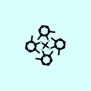 Cc1cccc(C)c1OC(Oc1c(C)cccc1C)(Oc1c(C)cccc1C)Oc1c(C)cccc1C